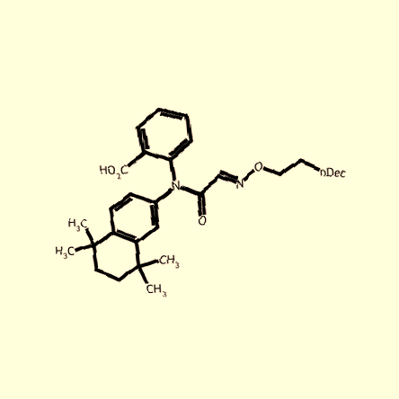 CCCCCCCCCCCCON=CC(=O)N(c1ccc2c(c1)C(C)(C)CCC2(C)C)c1ccccc1C(=O)O